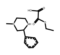 CCOC(=O)C(=O)O.CN1CCNC(c2ccccc2)C1